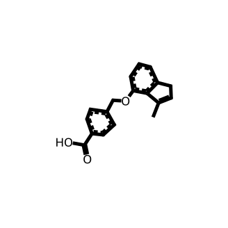 CC1=CCc2cccc(OCc3ccc(C(=O)O)cc3)c21